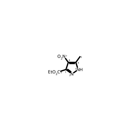 CCOC(=O)c1n[nH]c(C)c1[N+](=O)[O-]